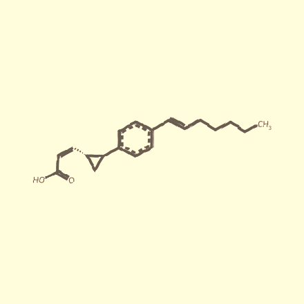 CCCCCC=Cc1ccc(C2C[C@@H]2/C=C\C(=O)O)cc1